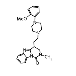 COc1ccccc1N1CCN(CCC2CN(C)C(=O)n3c2nc2ccccc23)CC1